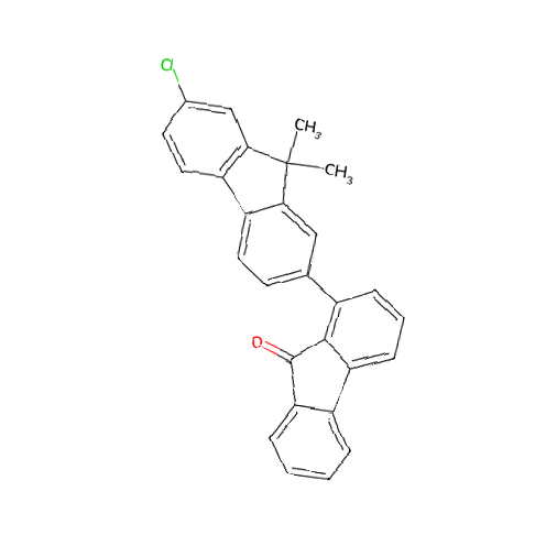 CC1(C)c2cc(Cl)ccc2-c2ccc(-c3cccc4c3C(=O)c3ccccc3-4)cc21